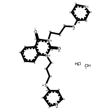 Cl.Cl.O=c1c2ccccc2n(CCCSc2ccncc2)c(=O)n1CCCSc1ccncc1